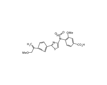 C=C(COC)c1ccc(-c2nc(N(c3ccc(C(=O)O)cc3OC)[SH](=O)=O)cs2)cc1